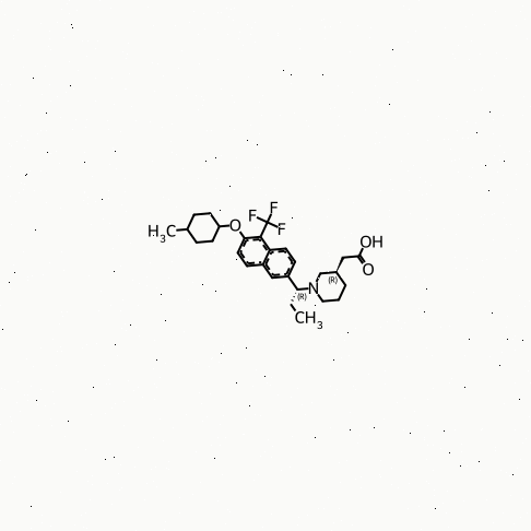 CC[C@H](c1ccc2c(C(F)(F)F)c(OC3CCC(C)CC3)ccc2c1)N1CCC[C@H](CC(=O)O)C1